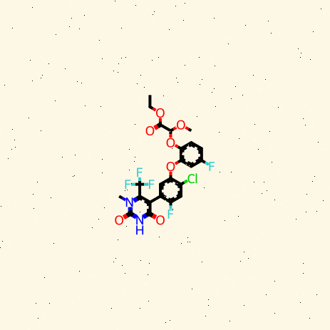 CCOC(=O)C(OC)Oc1ccc(F)cc1Oc1cc(-c2c(C(F)(F)F)n(C)c(=O)[nH]c2=O)c(F)cc1Cl